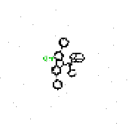 C1=CC[C]([Ti+2](=[C]2C3CC4CC(C3)CC2C4)[CH]2c3cc(-c4ccccc4)ccc3-c3ccc(-c4ccccc4)cc32)=C1.[Cl-].[Cl-]